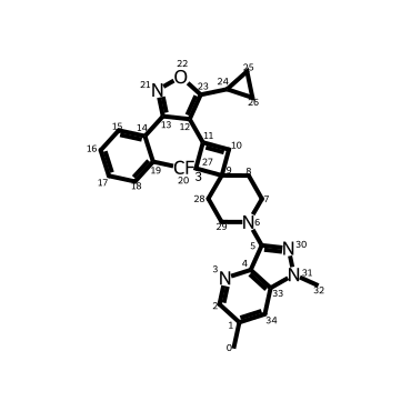 Cc1cnc2c(N3CCC4(C=C(c5c(-c6ccccc6C(F)(F)F)noc5C5CC5)C4)CC3)nn(C)c2c1